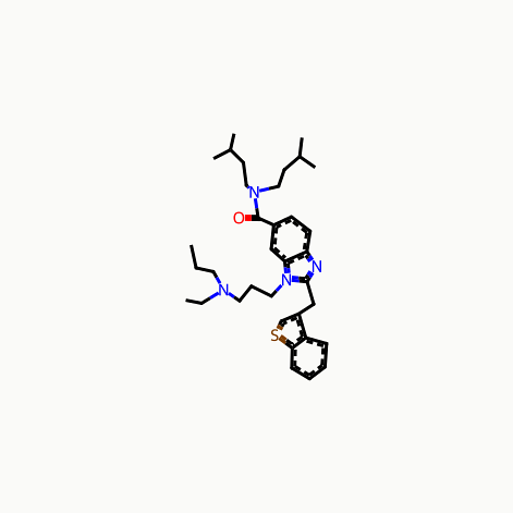 CCCN(CC)CCCn1c(Cc2csc3ccccc23)nc2ccc(C(=O)N(CCC(C)C)CCC(C)C)cc21